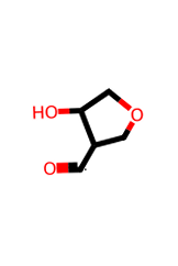 O=[C]C1COCC1O